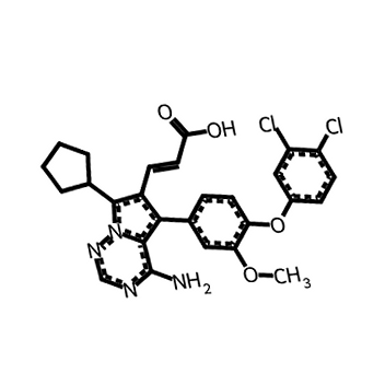 COc1cc(-c2c(C=CC(=O)O)c(C3CCCC3)n3ncnc(N)c23)ccc1Oc1ccc(Cl)c(Cl)c1